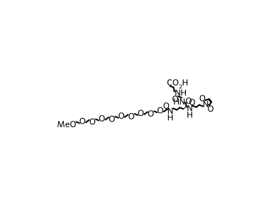 COCCOCCOCCOCCOCCOCCOCCOCCOCCOCC(=O)NCCCC[C@H](NC(=O)CCCN1C(=O)C=CC1=O)C(=O)NCC(=O)NCCCC(=O)O